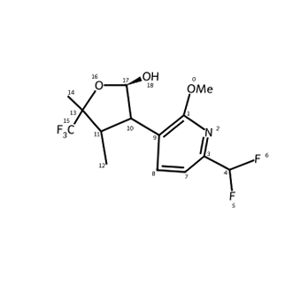 COc1nc(C(F)F)ccc1C1C(C)C(C)(C(F)(F)F)O[C@H]1O